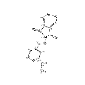 O=C1c2ccccc2C(=O)N1OCc1cccc(OC(F)(F)F)c1